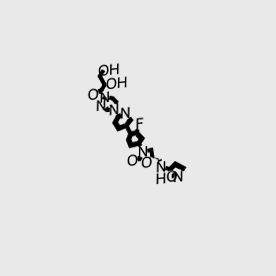 O=C(C(O)CO)N1CCN(c2ccc(-c3ccc(N4C[C@H](CNc5ccno5)OC4=O)cc3F)cn2)C=N1